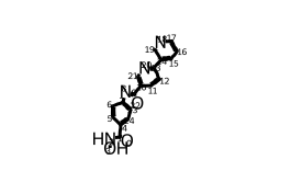 O=C(NO)c1ccc2nc(-c3ccc(-c4cccnc4)nc3)oc2c1